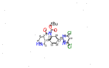 CC(C)(C)OC(=O)N(C(=O)C1CCNCC1)c1cccc(-c2nc(Cl)cc(Cl)n2)c1